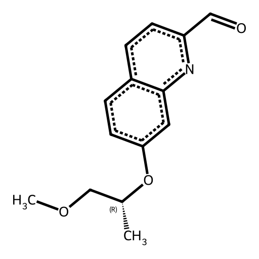 COC[C@@H](C)Oc1ccc2ccc(C=O)nc2c1